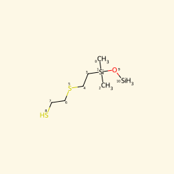 C[Si](C)(CCSCCS)O[SiH3]